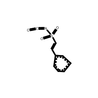 O=C=NS(=O)(=O)C=Cc1ccccc1